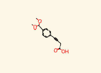 COC(OC)c1ccc(C#CCC(=O)O)cc1